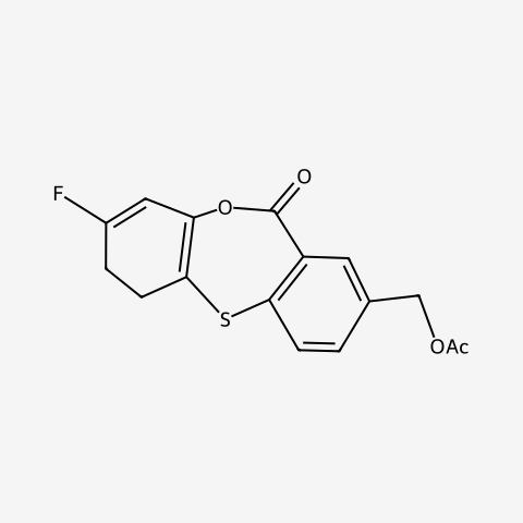 CC(=O)OCc1ccc2c(c1)C(=O)OC1=C(CCC(F)=C1)S2